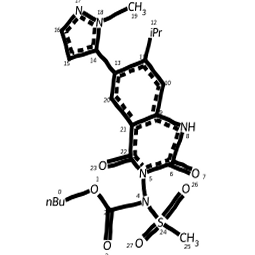 CCCCOC(=O)N(n1c(=O)[nH]c2cc(C(C)C)c(-c3ccnn3C)cc2c1=O)S(C)(=O)=O